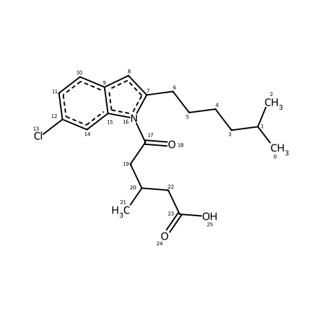 CC(C)CCCCc1cc2ccc(Cl)cc2n1C(=O)CC(C)CC(=O)O